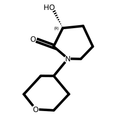 O=C1[C@H](O)CCCN1C1CCOCC1